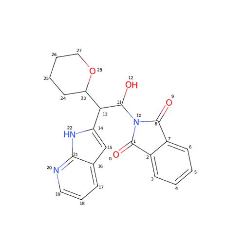 O=C1c2ccccc2C(=O)N1C(O)C(c1cc2cccnc2[nH]1)C1CCCCO1